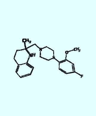 COc1cc(F)ccc1N1CCN(CC2(C)CCc3ccccc3N2)CC1